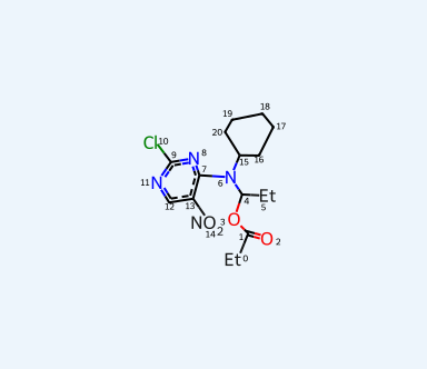 CCC(=O)OC(CC)N(c1nc(Cl)ncc1[N+](=O)[O-])C1CCCCC1